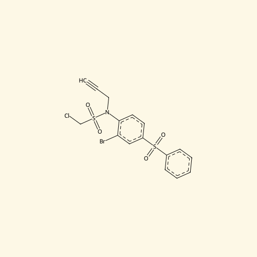 C#CCN(c1ccc(S(=O)(=O)c2ccccc2)cc1Br)S(=O)(=O)CCl